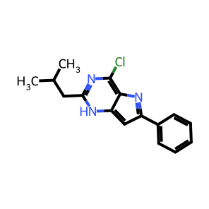 CC(C)Cc1nc(Cl)c2nc(-c3ccccc3)cc-2[nH]1